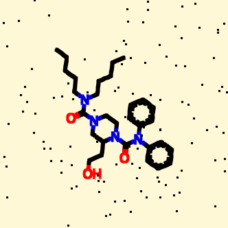 CCCCCN(CCCCC)C(=O)N1CCN(C(=O)N(c2ccccc2)c2ccccc2)C(CCO)C1